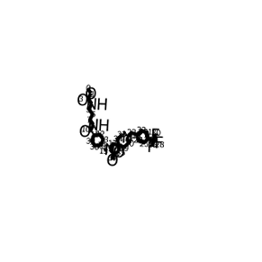 COC(=O)NCCCNC(=O)[C@H]1CC[C@H](CN2CC3(CCN(Cc4ccc(C(F)(F)F)cc4)CC3)OC2=O)CC1